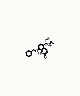 CPO[C@@H](CBr)c1ccc(OCc2ccccc2)c2[nH]c(=O)ccc12